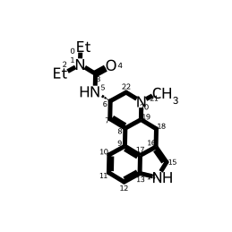 CCN(CC)C(=O)N[C@H]1C=C2c3cccc4[nH]cc(c34)CC2N(C)C1